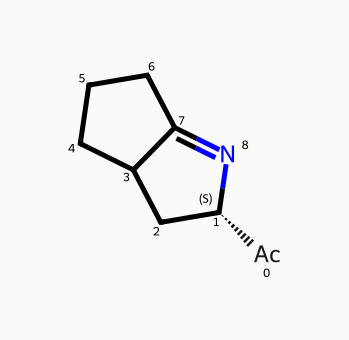 CC(=O)[C@@H]1CC2CCCC2=N1